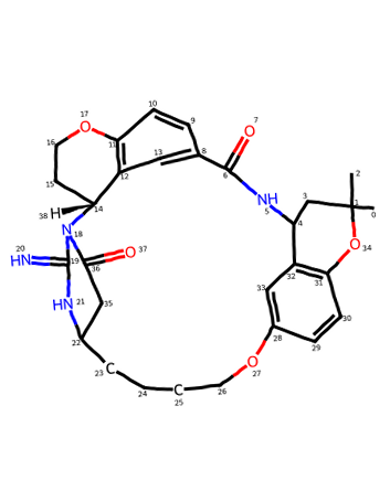 CC1(C)CC2NC(=O)c3ccc4c(c3)[C@@H](CCO4)N3C(=N)NC(CCCCOc4ccc(c2c4)O1)CC3=O